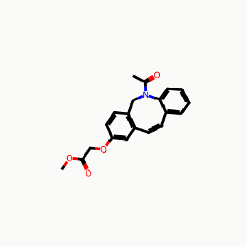 COC(=O)COc1ccc2c(c1)C=Cc1ccccc1N(C(C)=O)C2